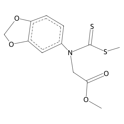 COC(=O)CN(C(=S)SC)c1ccc2c(c1)OCO2